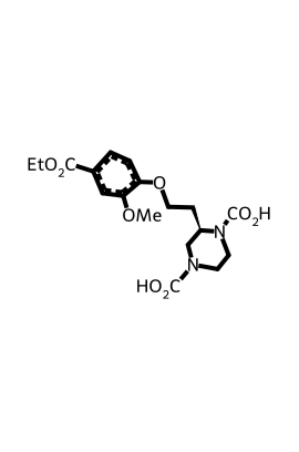 CCOC(=O)c1ccc(OCC[C@@H]2CN(C(=O)O)CCN2C(=O)O)c(OC)c1